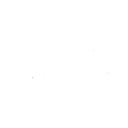 Cc1cc(N=O)c(=O)c(N=O)cc1-c1ccc(-n2ccc(N)nc2=O)cc1